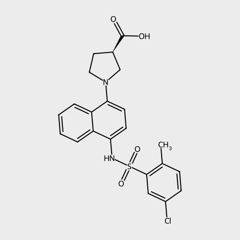 Cc1ccc(Cl)cc1S(=O)(=O)Nc1ccc(N2CC[C@@H](C(=O)O)C2)c2ccccc12